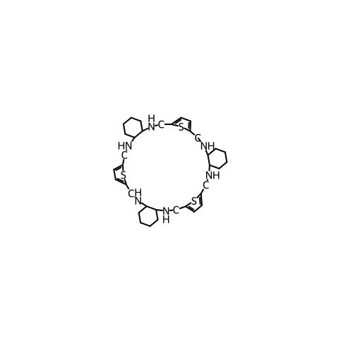 c1cc2sc1CNC1CCCCC1NCc1ccc(s1)CNC1CCCCC1NCc1ccc(s1)CNC1CCCCC1NC2